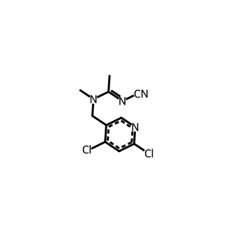 CC(=NC#N)N(C)Cc1cnc(Cl)cc1Cl